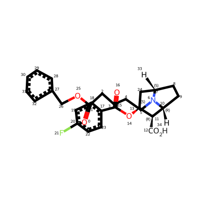 O=C(CCCCN1[C@H]2CC[C@@H]1[C@@H](C(=O)O)[C@@H](OC(=O)c1ccc(F)cc1)C2)OCc1ccccc1